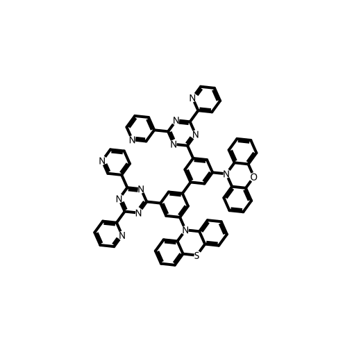 c1ccc(-c2nc(-c3cccnc3)nc(-c3cc(-c4cc(-c5nc(-c6cccnc6)nc(-c6ccccn6)n5)cc(N5c6ccccc6Sc6ccccc65)c4)cc(N4c5ccccc5Oc5ccccc54)c3)n2)nc1